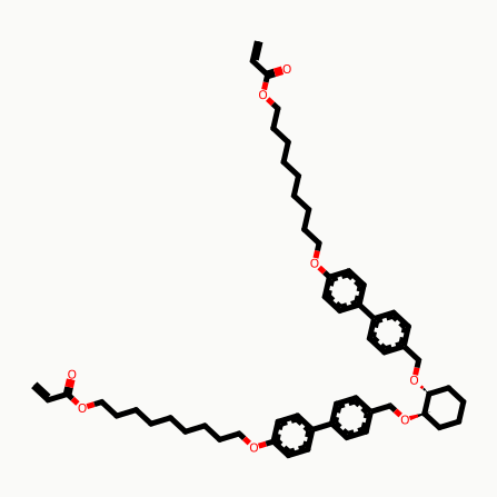 C=CC(=O)OCCCCCCCCCOc1ccc(-c2ccc(CO[C@@H]3CCCC[C@H]3OCc3ccc(-c4ccc(OCCCCCCCCCOC(=O)C=C)cc4)cc3)cc2)cc1